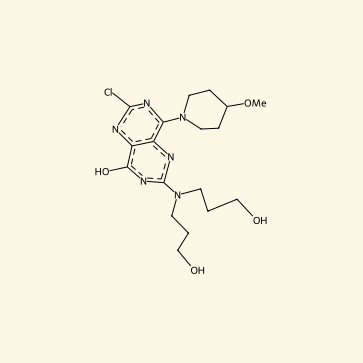 COC1CCN(c2nc(Cl)nc3c(O)nc(N(CCCO)CCCO)nc23)CC1